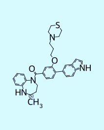 C[C@H]1CCN(C(=O)c2ccc(-c3ccc4[nH]ccc4c3)c(OCCCN3CCSCC3)c2)c2ccccc2N1